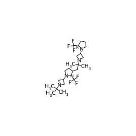 CC(C)(C)N1CC(N2CCC(CC(C)(C)N3CC(N4CCC[C@@H]4C(F)(F)F)C3)[C@H]2C(F)(F)F)C1